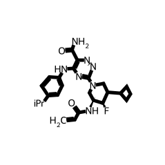 C=CC(=O)N[C@H]1CN(c2nnc(C(N)=O)c(Nc3ccc(C(C)C)cc3)n2)CC(C2CCC2)[C@H]1F